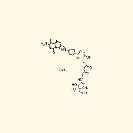 CC(C)(CO)[C@@H](O)C(=O)NCCC(=O)OC(=O)CC[C@H](NC(=O)c1ccc(NCc2cnc3[nH]c(N)nc(=O)c3n2)cc1)C(=O)O.[CaH2]